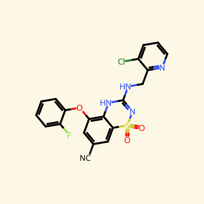 N#Cc1cc(Oc2ccccc2F)c2c(c1)S(=O)(=O)N=C(NCc1ncccc1Cl)N2